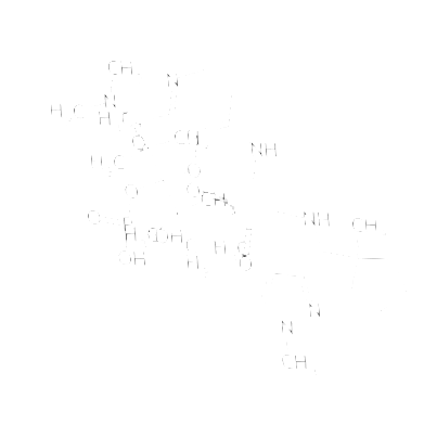 Cc1cn(C)nc1C(Nc1c(Nc2ccnc(C(=O)N(C)C)c2OC(OP(=O)(O)O)(C(C)(C)C)C(C)(C)C)c(=O)c1=O)C1(C)CCCC1